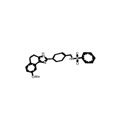 COc1ccc2c(c1)-c1nc(C3CCC(CNS(=O)(=O)c4ccccc4)CC3)[nH]c1CC2